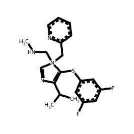 CNC[N+]1(Cc2ccccn2)C=NC(C(C)C)=C1Sc1cc(F)cc(F)c1